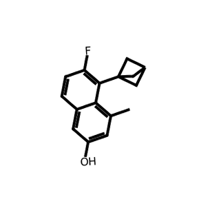 Cc1cc(O)cc2ccc(F)c(C34CC(C3)C4)c12